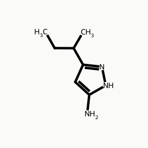 CCC(C)c1cc(N)[nH]n1